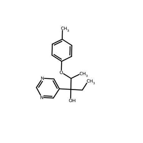 CCC(O)(c1cncnc1)C(C)Oc1ccc(C)cc1